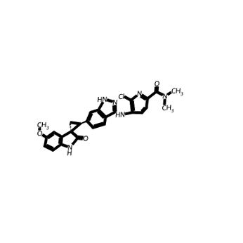 COc1ccc2c(c1)[C@]1(C[C@H]1c1ccc3c(Nc4ccc(C(=O)N(C)C)nc4Cl)n[nH]c3c1)C(=O)N2